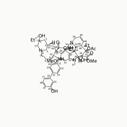 CC[C@]1(O)C[C@H]2CN(CCc3c([nH]c4ccc(-c5cccc(O)c5)cc34)[C@@](C(=O)OC)(c3cc4c(cc3OC)N(C)[C@H]3[C@@](O)(C(=O)OC)[C@H](OC(C)=O)[C@]5(CC)C=CCN6CC[C@]43[C@@H]65)C2)C1